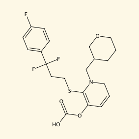 O=C(O)OC1=C(SCCC(F)(F)c2ccc(F)cc2)N(CC2CCCOC2)CC=C1